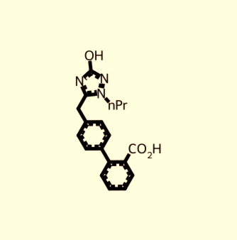 CCCn1nc(O)nc1Cc1ccc(-c2ccccc2C(=O)O)cc1